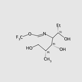 CC[C@H](O)C(N=COC(F)(F)F)[C@H](O)[C@H](C)CO